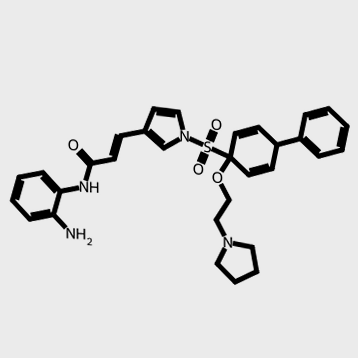 Nc1ccccc1NC(=O)/C=C/c1ccn(S(=O)(=O)C2(OCCN3CCCC3)C=CC(c3ccccc3)C=C2)c1